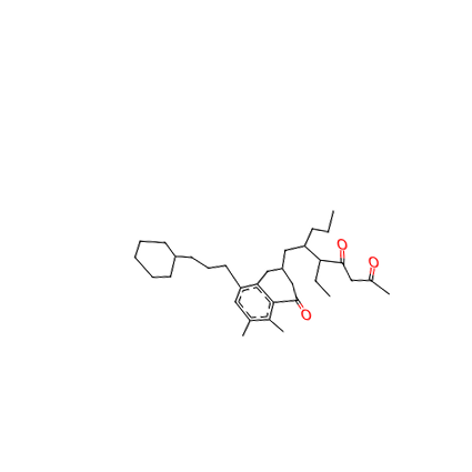 CCCC(CC1CC(=O)c2c(C)c(C)cc(CCCC3CCCCC3)c2C1)C(CC)C(=O)CC(C)=O